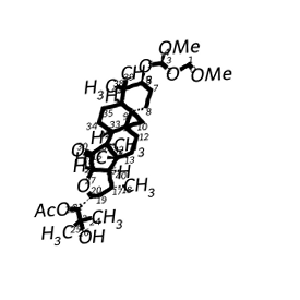 COCO[C@H](OC)O[C@H]1CC[C@]23CC24CC[C@]2(C)[C@H]5[C@H](C)C[C@H](C(OC(C)=O)C(C)(C)O)O[C@@H]5C(=O)[C@@]2(C)[C@@H]4CC[C@H]3C1(C)C